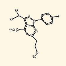 CCOCCc1cc(C(=O)OCC)c2c(C(CC)CC)nn(-c3ccc(F)cc3)c2n1